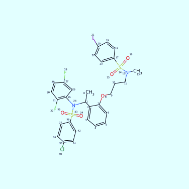 CC(c1ccccc1OCCCN(C)S(=O)(=O)c1ccc(I)cc1)N(c1cc(F)ccc1F)S(=O)(=O)c1ccc(Cl)cc1